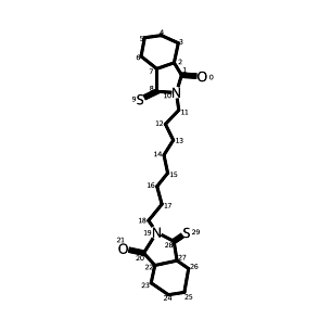 O=C1C2CCCCC2C(=S)N1CCCCCCCCN1C(=O)C2CCCCC2C1=S